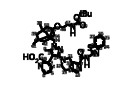 Cc1c(-c2cccnc2C(=O)O)c(N2CCn3cnc(C(=O)Nc4nc5ccccc5s4)c3C2)nn1CC12CC3(C)CC(C)(C1)CC(OCCNC(=O)OC(C)(C)C)(C3)C2